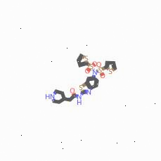 O=C(CC1CCNCC1)Nc1nc2ccc(N(S(=O)(=O)c3cccs3)S(=O)(=O)c3cccs3)cc2s1